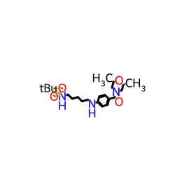 C[C@@H]1CN(C(=O)c2ccc(NCCCCCNS(=O)(=O)C(C)(C)C)cc2)C[C@H](C)O1